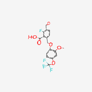 COc1cc(OC(F)(F)F)ccc1OCc1ccc(C=O)c(F)c1C(=O)O